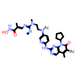 C=N/C(=N\C=C(/C)C(=O)NO)N(C)CCN(C(C)=O)c1ccc(Nc2ncc3c(C)c(C(C)=O)c(=O)n(C4CCCC4)c3n2)nc1